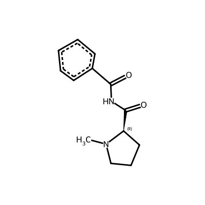 CN1CCC[C@@H]1C(=O)NC(=O)c1ccccc1